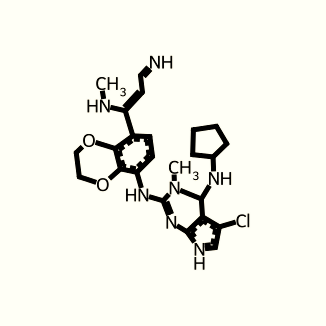 CN/C(=C\C=N)c1ccc(NC2=Nc3[nH]cc(Cl)c3C(NC3CCCC3)N2C)c2c1OCCO2